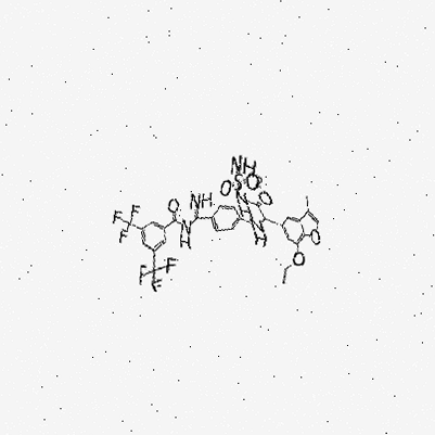 CCOc1cc(C(Nc2ccc(C(=N)NC(=O)c3cc(C(F)(F)F)cc(C(F)(F)F)c3)cc2)C(=O)NS(N)(=O)=O)cc2c(C)coc12